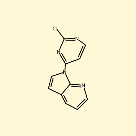 Clc1nccc(-n2ccc3cccnc32)n1